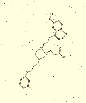 COc1ccc2nccc(CCC[C@@H]3CCN(CCCSc4cccc(Cl)c4)C[C@@H]3CCC(=O)O)c2c1